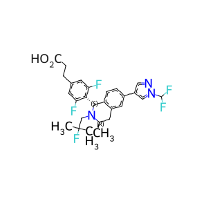 C[C@@H]1Cc2cc(-c3cnn(C(F)F)c3)ccc2[C@@H](c2c(F)cc(CCC(=O)O)cc2F)N1CC(C)(C)F